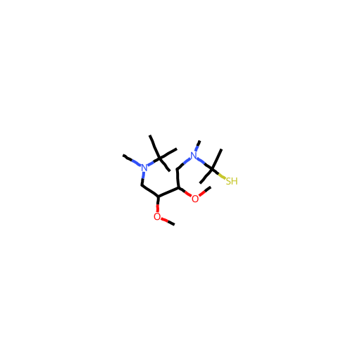 COC(CN(C)C(C)(C)C)C(CN(C)C(C)(C)S)OC